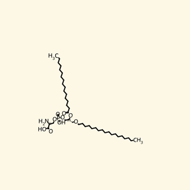 CCCCCCCCCCCCCCCCCCOC[C@H](COP(=O)(O)OC[C@H](N)C(=O)O)OC(=O)CCCCCCCCCCCCCCCC